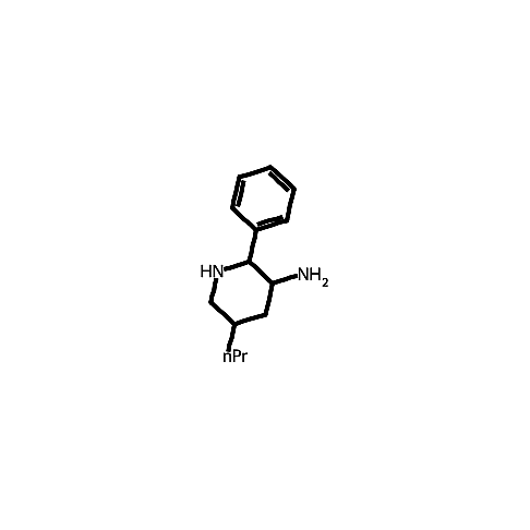 CCCC1CNC(c2ccccc2)C(N)C1